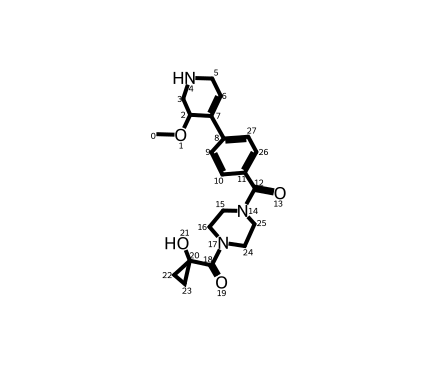 COC1CNCC=C1c1ccc(C(=O)N2CCN(C(=O)C3(O)CC3)CC2)cc1